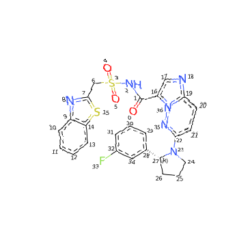 O=C(NS(=O)(=O)Cc1nc2ccccc2s1)c1cnc2ccc(N3CCC[C@@H]3c3cccc(F)c3)nn12